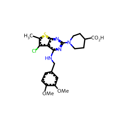 COc1ccc(CNc2nc(N3CCC(C(=O)O)CC3)nc3sc(C)c(Cl)c23)cc1OC